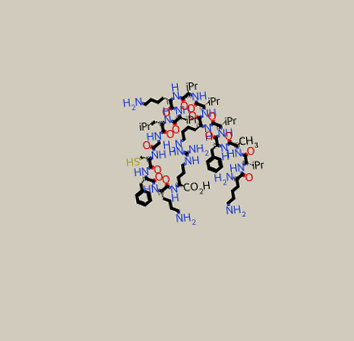 CC(C)C[C@H](NC(=O)[C@@H](NC(=O)[C@H](CCCCN)NC(=O)[C@@H](NC(=O)[C@@H](NC(=O)[C@H](CCCCN)NC(=O)[C@@H](NC(=O)[C@H](Cc1ccccc1)NC(=O)[C@H](C)NC(=O)[C@@H](NC(=O)[C@@H](N)CCCCN)C(C)C)C(C)C)C(C)C)C(C)C)C(C)C)C(=O)NCC(=O)N[C@@H](CS)C(=O)N[C@@H](Cc1ccccc1)C(=O)N[C@@H](CCCCN)C(=O)N[C@@H](CCCNC(=N)N)C(=O)O